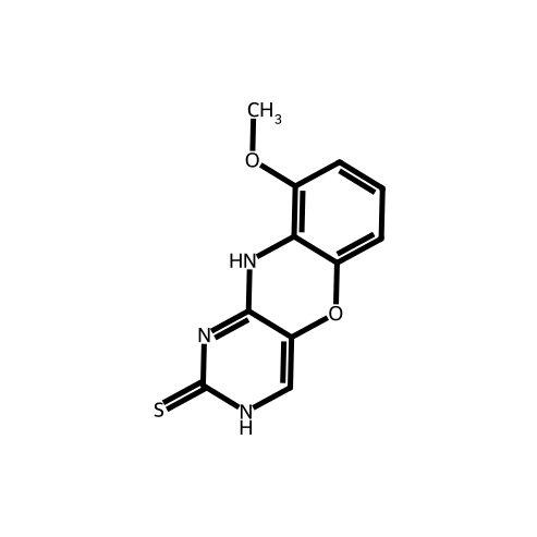 COc1cccc2c1Nc1nc(=S)[nH]cc1O2